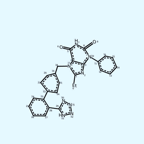 CCc1nc2c(c(=O)[nH]c(=O)n2-c2ccccc2)n1Cc1ccc(-c2ccccc2-c2nnn[nH]2)cc1